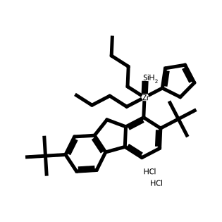 CCC[CH2][Zr](=[SiH2])([CH2]CCC)([C]1=CC=CC1)[c]1c(C(C)(C)C)ccc2c1Cc1cc(C(C)(C)C)ccc1-2.Cl.Cl